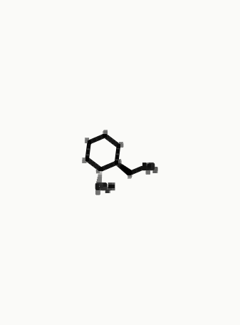 O=C(O)[C@@H]1CCCC[C@H]1C[N+](=O)[O-]